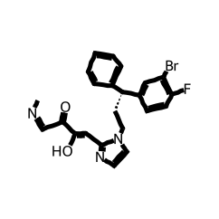 C/N=C\C(=O)/C(O)=C/c1nccn1CC[C@H](c1ccccc1)c1ccc(F)c(Br)c1